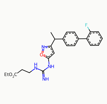 CCOC(=O)CCNC(=N)Nc1cc(C(C)c2ccc(-c3ccccc3F)cc2)no1